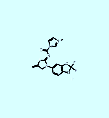 C=C1CN(c2ccc3c(c2)OC(F)(F)O3)/C(=N/C(=O)n2cc[n+](C)c2)S1.[I-]